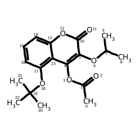 CC(=O)Oc1c(OC(C)C)c(=O)oc2cccc(OC(C)(C)C)c12